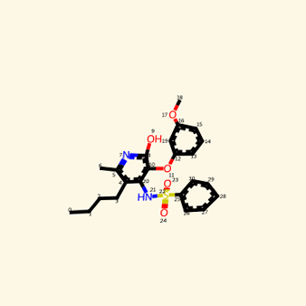 CCCCc1c(C)nc(O)c(Oc2cccc(OC)c2)c1NS(=O)(=O)c1ccccc1